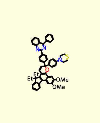 CCC1(CC)c2ccccc2-c2c1c1c(c3cc(OC)c(OC)cc23)OC(c2ccc(-c3nc(-c4ccccc4)c4ccccc4n3)cc2)(c2ccc(N3CCSCC3)cc2)C=C1